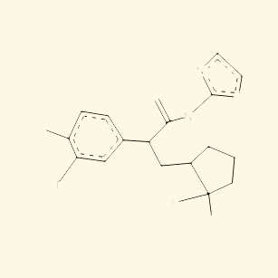 O=C(Nc1nccs1)C(CC1CCCC1(F)F)c1ccc(Cl)c(Cl)c1